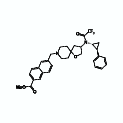 COC(=O)c1ccc2cc(CN3CCC4(CC3)CC(N(C(=O)C(F)(F)F)[C@@H]3C[C@H]3c3ccccc3)CO4)ccc2c1